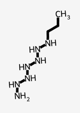 CCCNNNNNNN